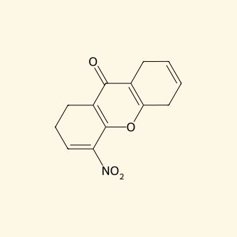 O=c1c2c(oc3c1CCC=C3[N+](=O)[O-])CC=CC2